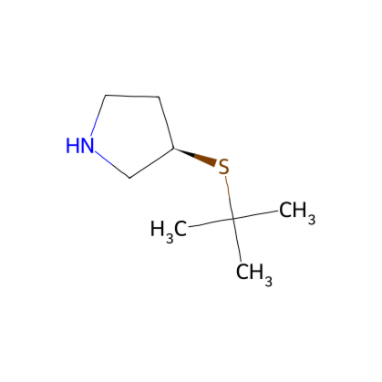 CC(C)(C)S[C@@H]1CCNC1